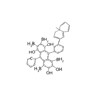 Bc1c(B)c(O)c2c(-c3cccc(C4=CCC5(C)C=CC=CC5=C4)c3)c3c(B)c(O)c(O)c(B)c3c(-c3ccccc3)c2c1O